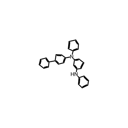 c1ccc(Nc2cccc(N(c3ccccc3)c3ccc(-c4ccccc4)cc3)c2)cc1